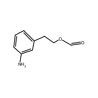 Nc1cccc(CCO[C]=O)c1